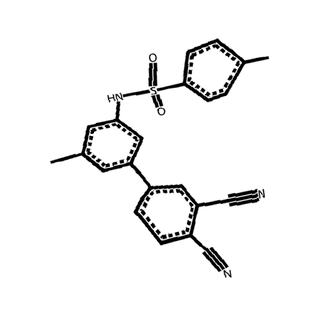 Cc1ccc(S(=O)(=O)Nc2cc(C)cc(-c3ccc(C#N)c(C#N)c3)c2)cc1